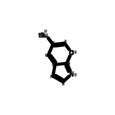 CC(C)(C)c1coc2nccc-2c1